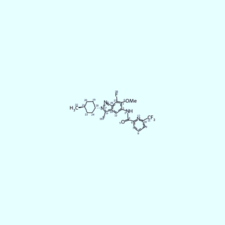 COc1c(NC(=O)c2cccc(C(F)(F)F)n2)cc2c(F)n([C@H]3CC[C@H](C)CC3)nc2c1F